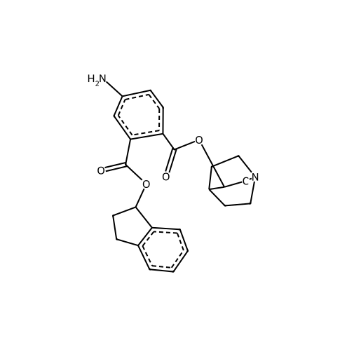 Nc1ccc(C(=O)OC2CN3CCC2CC3)c(C(=O)OC2CCc3ccccc32)c1